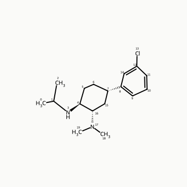 CC(C)N[C@H]1CC[C@H](c2cccc(Cl)c2)C[C@@H]1N(C)C